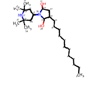 CCCCCCCCCCCCC1CC(O)N(C2CC(C)(C)NC(C)(C)C2)C1O